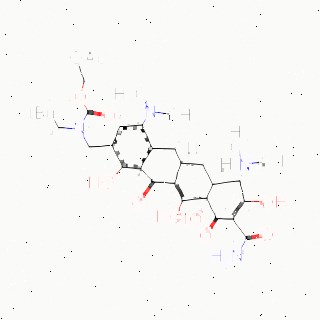 CC(=O)OCOC(=O)N(Cc1cc(N(C)C)c2c(c1O)C(=O)C1=C(O)[C@]3(O)C(=O)C(C(N)=O)=C(O)[C@@H](N(C)C)[C@@H]3C[C@@H]1C2)CC(C)(C)C